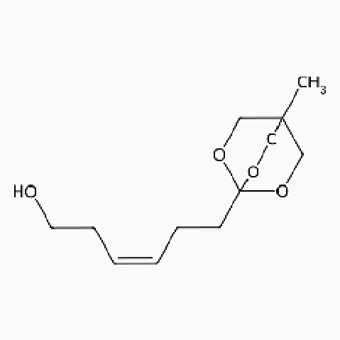 CC12COC(CC/C=C\CCO)(OC1)OC2